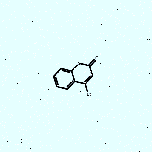 CCc1cc(=O)sc2ccccc12